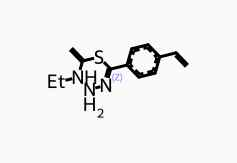 C=Cc1ccc(/C(=N/N)SC(=C)NCC)cc1